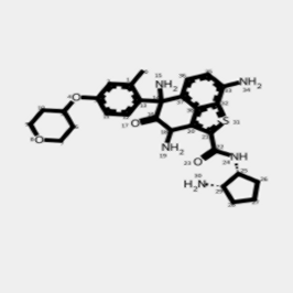 Cc1cc(OC2CCOCC2)ccc1C1(N)C(=O)C(N)c2c(C(=O)N[C@@H]3CCC[C@@H]3N)sc3c(N)ccc1c23